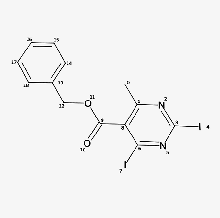 Cc1nc(I)nc(I)c1C(=O)OCc1ccccc1